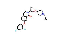 CC(C)C(COC1CCN(CC2CC2)CC1)N1CCc2ccc(Oc3ccc(F)cc3F)cc2C1=O